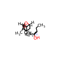 CC/C=C(\C)O.CC1(C)O[C@@H]2C[C@@]3(C)C[C@@H](O2)[C@@H]13